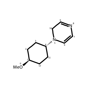 CO[C@H]1CC[C@H](N2C=CN=CC2)CC1